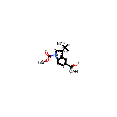 COC(=O)c1ccc2c(c1)c(C(C)(C)C#N)cn2C(=O)OC(C)(C)C